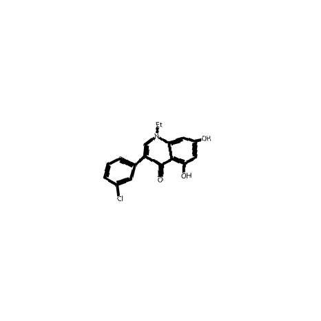 CCn1cc(-c2cccc(Cl)c2)c(=O)c2c(O)cc(O)cc21